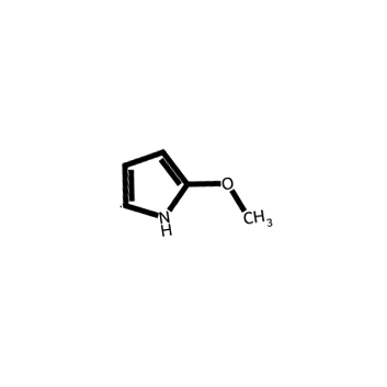 COc1cc[c][nH]1